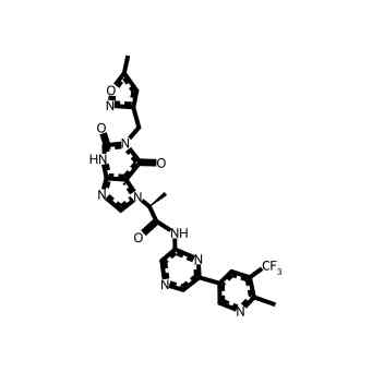 Cc1cc(Cn2c(=O)[nH]c3ncn([C@@H](C)C(=O)Nc4cncc(-c5cnc(C)c(C(F)(F)F)c5)n4)c3c2=O)no1